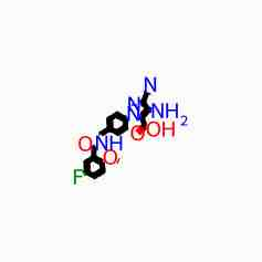 COc1ccc(F)cc1C(=O)NCc1ccc(-n2nc(C#N)c(N)c2C(=O)O)cc1